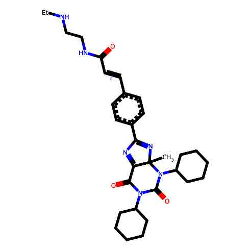 CCNCCNC(=O)/C=C/c1ccc(C2=NC3(C)C(=N2)C(=O)N(C2CCCCC2)C(=O)N3C2CCCCC2)cc1